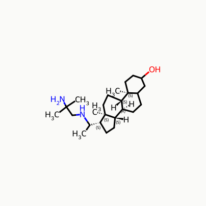 CC(NCC(C)(C)N)[C@H]1CC[C@H]2[C@@H]3CCC4CC(O)CC[C@]4(C)[C@H]3CC[C@]12C